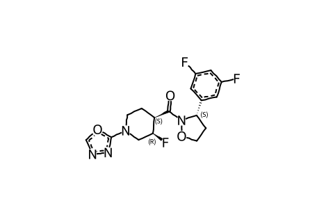 O=C([C@@H]1CCN(c2nnco2)C[C@@H]1F)N1OCC[C@H]1c1cc(F)cc(F)c1